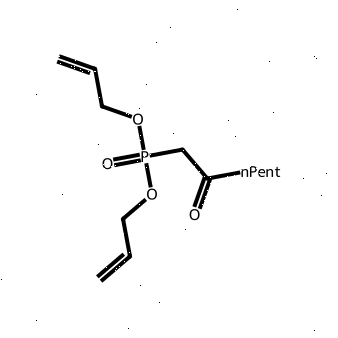 C=CCOP(=O)(CC(=O)CCCCC)OCC=C